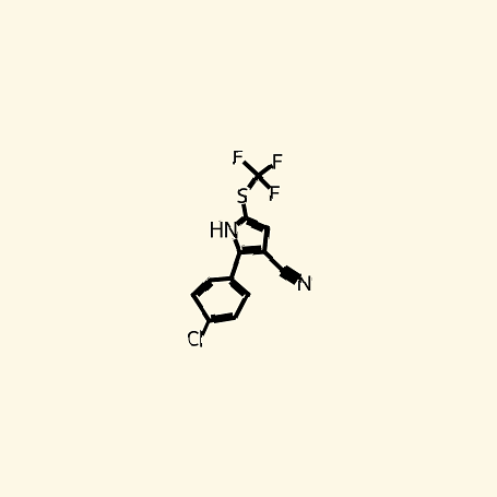 N#Cc1cc(SC(F)(F)F)[nH]c1-c1ccc(Cl)cc1